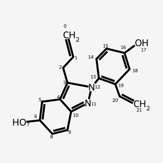 C=CCc1c2cc(O)ccc2nn1-c1ccc(O)cc1C=C